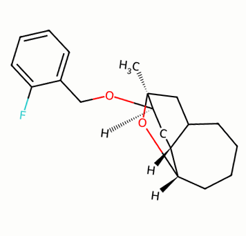 C[C@@]12CC3CCCC[C@H](O1)[C@@H]3C[C@H]2OCc1ccccc1F